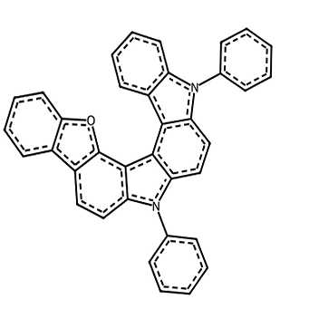 c1ccc(-n2c3ccccc3c3c4c5c6oc7ccccc7c6ccc5n(-c5ccccc5)c4ccc32)cc1